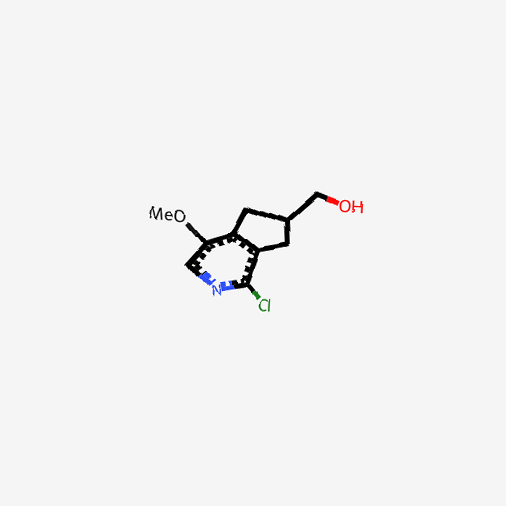 COc1cnc(Cl)c2c1CC(CO)C2